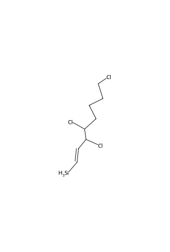 [SiH3]C=CC(Cl)C(Cl)CCCCCl